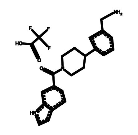 NCc1cccc(C2CCN(C(=O)c3ccc4cc[nH]c4c3)CC2)c1.O=C(O)C(F)(F)F